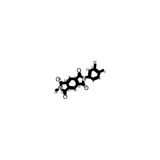 Cc1ccc(-n2c(=O)c3cc4c(=O)n(C)c(=O)c4cc3c2=O)cc1C